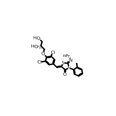 CCC/N=C1\S/C(=C\c2cc(Cl)c(OC[C@H](O)CO)c(Cl)c2)C(=O)N1c1ccccc1C